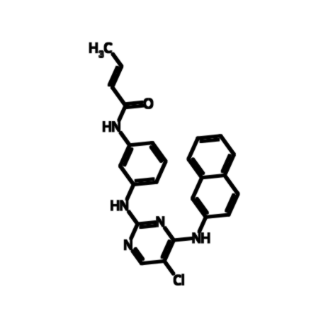 C/C=C/C(=O)Nc1cccc(Nc2ncc(Cl)c(Nc3ccc4ccccc4c3)n2)c1